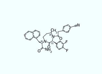 C[C@@H]1CCN([C@H](Cc2cccc3ccccc23)C(N)=O)C(=O)[C@H](c2ccc(F)c(F)c2)N1C(=O)Cc1ccc(C#N)cc1